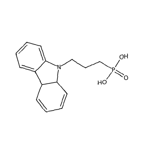 O=P(O)(O)CCCN1c2ccccc2C2C=CC=CC21